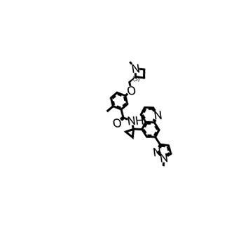 Cc1ccc(OC[C@@H]2CCN2C)cc1C(=O)NC1(c2cc(-c3ccn(C)n3)cc3ncccc23)CC1